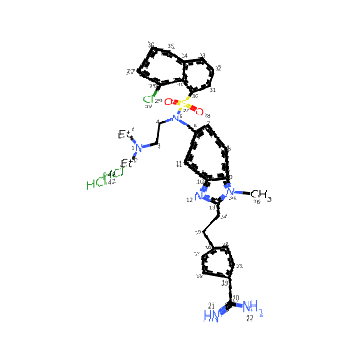 CCN(CC)CCN(c1ccc2c(c1)nc(CCc1ccc(C(=N)N)cc1)n2C)S(=O)(=O)c1cccc2cccc(Cl)c12.Cl.Cl